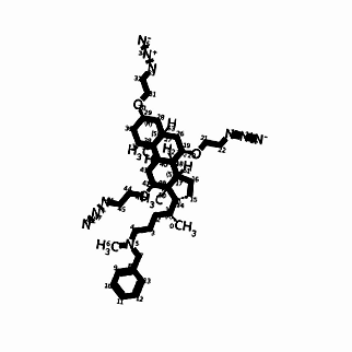 C[C@H](CCCN(C)Cc1ccccc1)[C@H]1CC[C@H]2[C@@H]3[C@H](OCCN=[N+]=[N-])C[C@@H]4C[C@H](OCCN=[N+]=[N-])CC[C@]4(C)[C@H]3C[C@H](OCCN=[N+]=[N-])[C@]12C